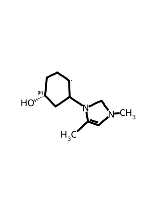 CC1=CN(C)CN1C1[CH]CC[C@@H](O)C1